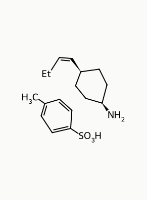 CC/C=C\[C@H]1CC[C@@H](N)CC1.Cc1ccc(S(=O)(=O)O)cc1